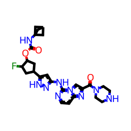 O=C(NC12CC(C1)C2)OC1CC(c2cc(Nc3nccc4nc(C(=O)N5CCNCC5)cn34)n[nH]2)CC1F